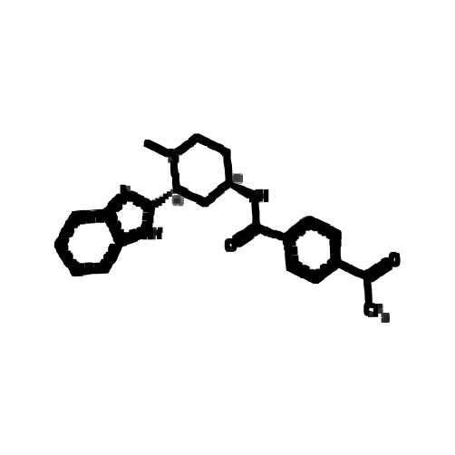 CN1CC[C@@H](NC(=O)c2ccc(C(=O)C(F)(F)F)cc2)C[C@@H]1c1nc2ccccc2[nH]1